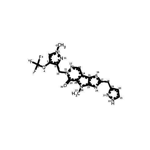 Cn1cc(OC(F)(F)F)c(Cn2ncc3c4sc(Cc5cc[nH]n5)nc4n(C)c3c2=O)n1